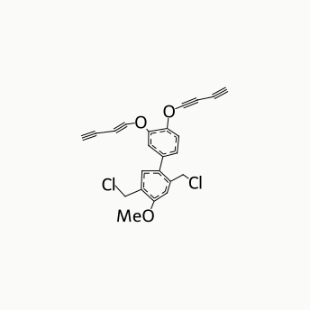 C#CC#COc1ccc(-c2cc(CCl)c(OC)cc2CCl)cc1OC#CC#C